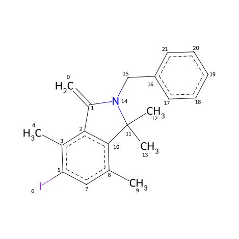 C=C1c2c(C)c(I)cc(C)c2C(C)(C)N1Cc1ccccc1